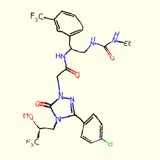 CCNC(=O)NCC(NC(=O)Cn1nc(-c2ccc(Cl)cc2)n(C[C@H](O)C(F)(F)F)c1=O)c1cccc(C(F)(F)F)c1